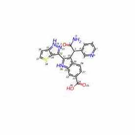 NC(=O)C(c1cccnc1)c1c(-c2n[nH]c3ccsc23)[nH]c2cc(C(=O)O)ccc12